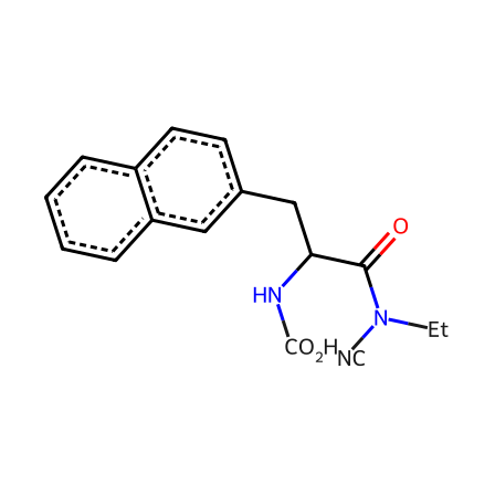 CCN(C#N)C(=O)C(Cc1ccc2ccccc2c1)NC(=O)O